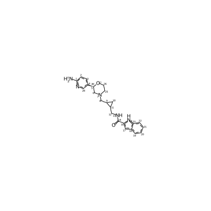 Nc1ccc([C@@H]2CN(CC3CC3CNC(=O)c3cc4ccccc4[nH]3)CCO2)cn1